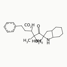 CC(N)(C(=O)C1(C(=O)O)CC2CCCCC2N1)C(CCc1ccccc1)C(=O)O